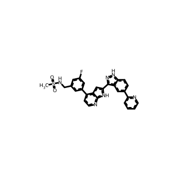 CS(=O)(=O)NCc1cc(F)cc(-c2ccnc3[nH]c(-c4n[nH]c5ccc(-c6ccccn6)cc45)cc23)c1